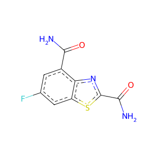 NC(=O)c1nc2c(C(N)=O)cc(F)cc2s1